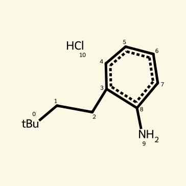 CC(C)(C)CCc1ccccc1N.Cl